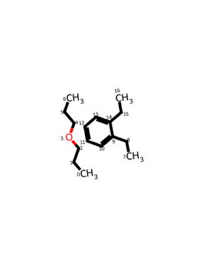 CCCOCCC.CCc1ccccc1CC